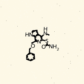 CNc1c(SC(N)=O)nc(COCc2ccccc2)c2[nH]ccc12